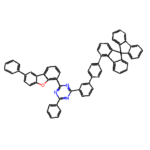 c1ccc(-c2ccc3oc4c(-c5nc(-c6ccccc6)nc(-c6cccc(-c7ccc(-c8cccc9c8-c8ccccc8C98c9ccccc9-c9ccccc98)cc7)c6)n5)cccc4c3c2)cc1